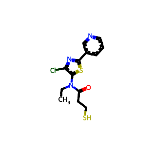 CCN(C(=O)CCS)c1sc(-c2cccnc2)nc1Cl